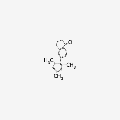 Cc1cc(C)c(-c2ccc3c(c2)CCCC3=O)c(C)c1